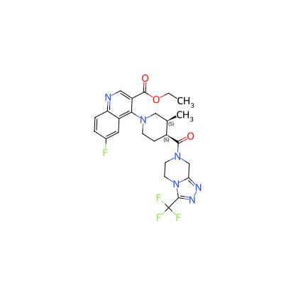 CCOC(=O)c1cnc2ccc(F)cc2c1N1CC[C@H](C(=O)N2CCn3c(nnc3C(F)(F)F)C2)[C@H](C)C1